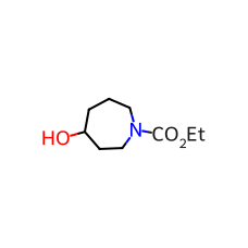 CCOC(=O)N1CCCC(O)CC1